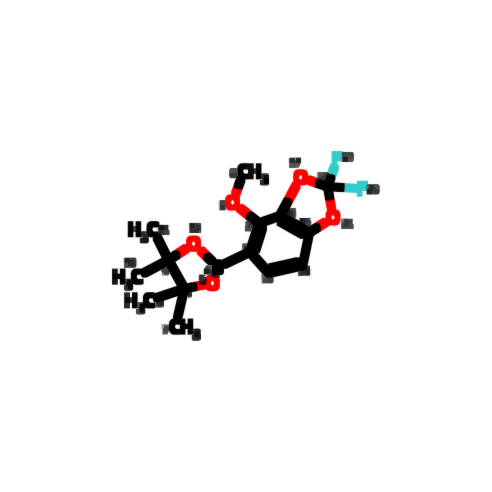 COc1c(B2OC(C)(C)C(C)(C)O2)ccc2c1OC(F)(F)O2